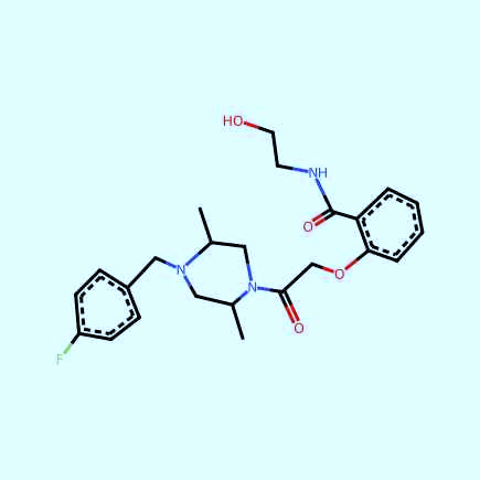 CC1CN(C(=O)COc2ccccc2C(=O)NCCO)C(C)CN1Cc1ccc(F)cc1